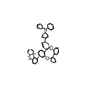 CC12C=CC=CC1Sc1cccc(-c3ccc4c(c3)Oc3ccccc3-c3ccccc3OC3=C4C=CC(c4ccc(N(c5ccccc5)c5ccccc5)cc4)C3)c12